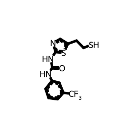 O=C(Nc1cccc(C(F)(F)F)c1)Nc1ncc(CCS)s1